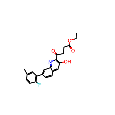 CCOC(=O)CCC(=O)c1nc2cc(-c3cc(C)ccc3F)ccc2cc1O